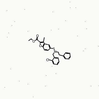 CCOC(=O)c1oc2ccc(SN(CCc3ccccc3)Cc3ccccc3Cl)cc2c1C